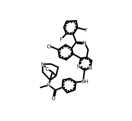 CN(C(=O)c1ccc(Nc2ncc3c(n2)-c2ccc(Cl)cc2C(c2c(F)cccc2F)=NC3)cc1)C1CN2CCC1CC2